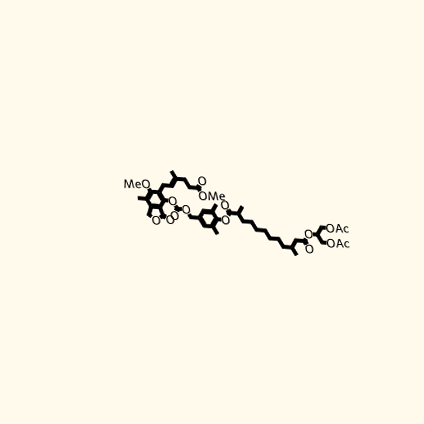 COC(=O)CC/C(C)=C/Cc1c(OC)c(C)c2c(c1OC(=O)OCc1cc(C)c(OC(=O)C(C)CCCCCCCC(C)CC(=O)OC(COC(C)=O)COC(C)=O)c(C)c1)C(=O)OC2